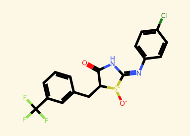 O=C1N/C(=N\c2ccc(Cl)cc2)[S+]([O-])C1Cc1cccc(C(F)(F)F)c1